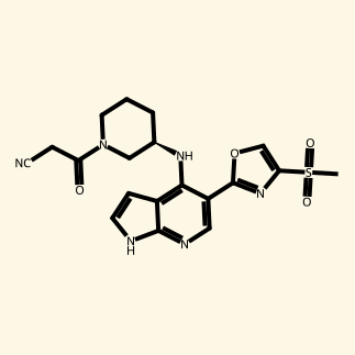 CS(=O)(=O)c1coc(-c2cnc3[nH]ccc3c2N[C@@H]2CCCN(C(=O)CC#N)C2)n1